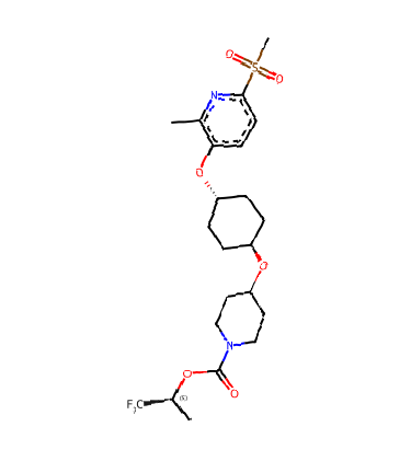 Cc1nc(S(C)(=O)=O)ccc1O[C@H]1CC[C@H](OC2CCN(C(=O)O[C@@H](C)C(F)(F)F)CC2)CC1